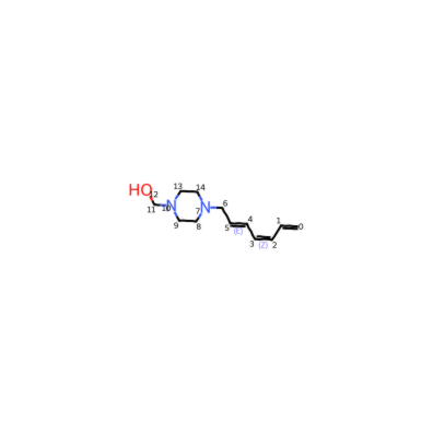 C=C/C=C\C=C\CN1CCN(CO)CC1